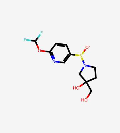 [O-][S+](c1ccc(OC(F)F)nc1)N1CCC(O)(CO)C1